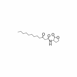 CCCCCCCCCC(=O)CC(=O)NC1CCOC1=O